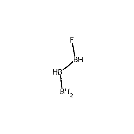 BBBF